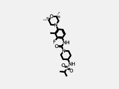 Cc1c(N2C[C@@H](C)O[C@@H](C)C2)ccc(NC(=O)N2CCC(NS(=O)(=O)C(C)C)CC2)c1F